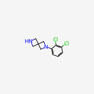 Clc1cccc(N2CC3(CNC3)C2)c1Cl